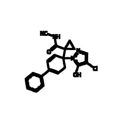 N#CNC(=O)C1(C2(n3ncc(Cl)c3O)C=CC(c3ccccc3)=CC2)CC1